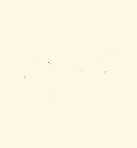 CC(=O)O[C@H](CC(C(C)C)C(C)C)c1nc(C(=O)C(C)C)cs1